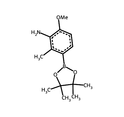 COc1ccc(B2OC(C)(C)C(C)(C)O2)c(C)c1N